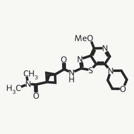 COc1ncc(N2CCOCC2)c2sc(NC(=O)C34CC(C(=O)N(C)C)(C3)C4)nc12